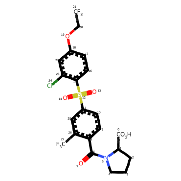 O=C(O)C1CCCN1C(=O)c1ccc(S(=O)(=O)c2ccc(OCC(F)(F)F)cc2Cl)cc1C(F)(F)F